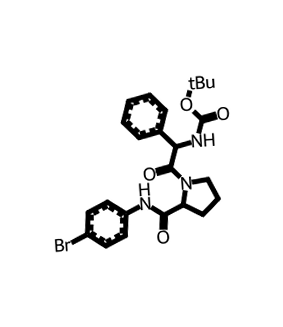 CC(C)(C)OC(=O)NC(C(=O)N1CCCC1C(=O)Nc1ccc(Br)cc1)c1ccccc1